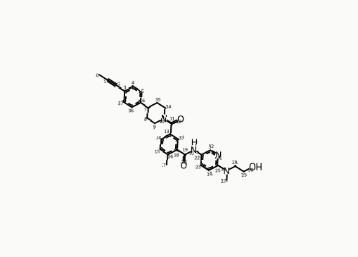 CC#Cc1ccc(C2CCN(C(=O)c3ccc(C)c(C(=O)Nc4ccc(N(C)CCO)nc4)c3)CC2)cc1